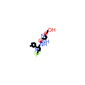 Cc1cccc(-c2nc(C(F)(F)F)ccc2CNC(=O)Nc2ccc(OCCO)nc2)c1